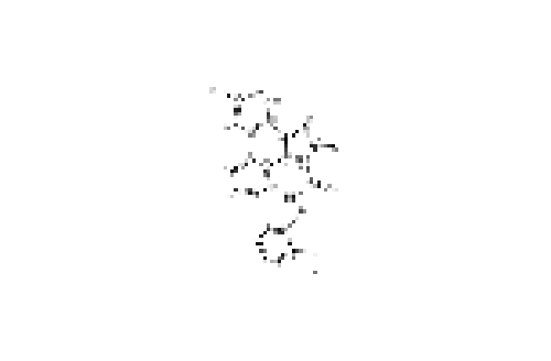 CCc1ccccc1CNC(=O)c1c(-c2ccncc2)c(-c2ccc(F)cc2)nn1C